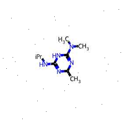 CC1N=C(NC(C)C)NC(N(C)C)=N1